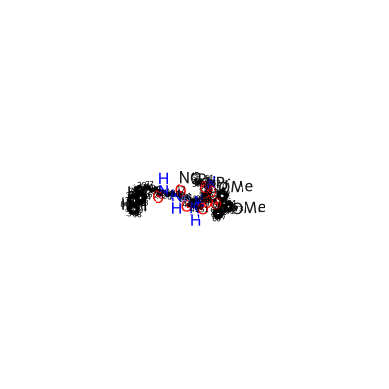 COc1ccc(C(OC[C@H]2O[C@@H](n3cc(/C=C/C(=O)NCCNC(=O)CC[C@@H](C)[C@H]4CC[C@H]5[C@@H]6CC[C@@H]7CCCC[C@]7(C)[C@H]6CC[C@]45C)c(=O)[nH]c3=O)CC2OP(OCCC#N)N(C(C)C)C(C)C)(c2ccccc2)c2ccc(OC)cc2)cc1